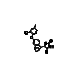 Cc1ccc(Oc2ccc3c(c2)C2CC(C2)C3C2SC(=O)NC2=O)c(Cl)c1